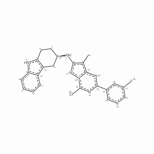 Cc1c(N[C@@H]2CCc3[nH]c4ccccc4c3C2)nn2c(Cl)nc(-c3cncc(F)c3)nc12